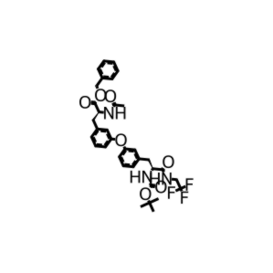 CC(=O)N[C@@H](Cc1cccc(Oc2cccc(C[C@H](NC(=O)OC(C)(C)C)C(=O)NCC(F)(F)F)c2)c1)C(=O)OCc1ccccc1